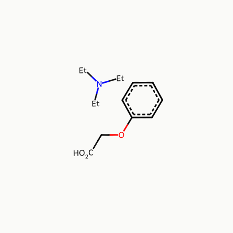 CCN(CC)CC.O=C(O)COc1ccccc1